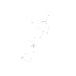 COc1ccc(CNS(=O)(=O)c2ccccc2)c(OC)c1